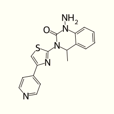 CC1c2ccccc2N(N)C(=O)N1c1nc(-c2ccncc2)cs1